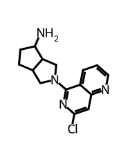 NC1CCC2CN(c3nc(Cl)cc4ncccc34)CC12